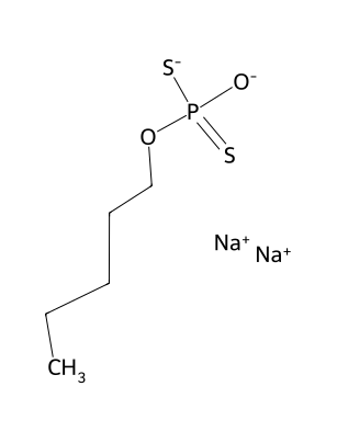 CCCCCOP([O-])(=S)[S-].[Na+].[Na+]